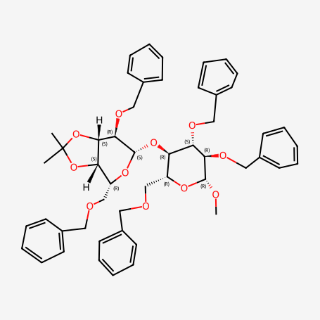 CO[C@@H]1O[C@H](COCc2ccccc2)[C@@H](O[C@@H]2O[C@H](COCc3ccccc3)[C@@H]3OC(C)(C)O[C@@H]3[C@H]2OCc2ccccc2)[C@H](OCc2ccccc2)[C@H]1OCc1ccccc1